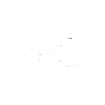 CCCCOC(=O)[C@@H](CCC(N)=O)NC(=O)[C@H](C)N